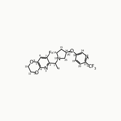 CC(c1nc2c(cc1F)OCCO2)N1CC[C@@H](Oc2ccc(C(F)(F)F)nc2)C1